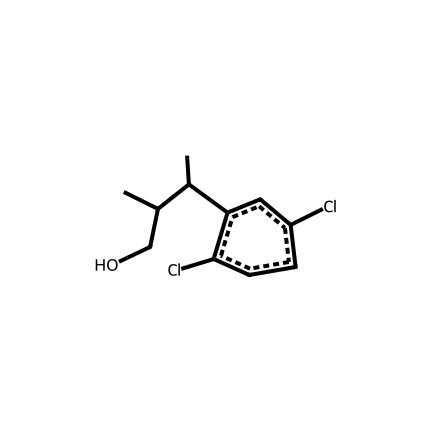 CC(CO)C(C)c1cc(Cl)ccc1Cl